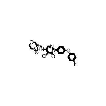 O=c1c(Cl)c(NC[C@@H]2COCC[S@@+]2[O-])cnn1-c1ccc(Oc2ccc(F)cc2)cc1